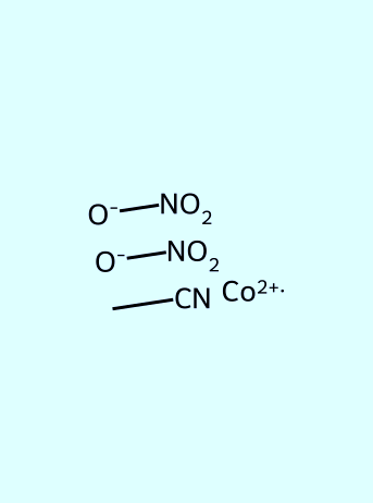 CC#N.O=[N+]([O-])[O-].O=[N+]([O-])[O-].[Co+2]